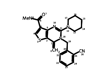 C=C1c2scc(C(=O)NC)c2N=C(N2CCCCC2)N1Cc1ccccc1C#N